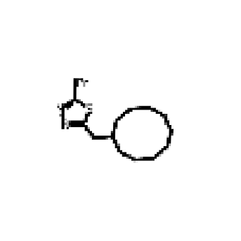 CC(C)c1nnc(CC2CCCCCCCCC2)s1